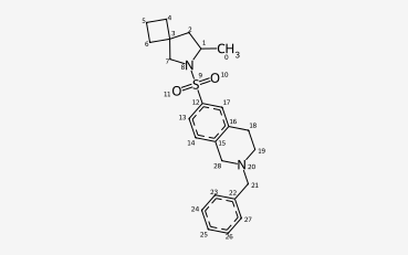 CC1CC2(CCC2)CN1S(=O)(=O)c1ccc2c(c1)CCN(Cc1ccccc1)C2